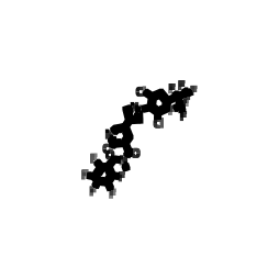 CN(C(=O)c1cc(-c2cnn(-c3c(Cl)cc(C(F)(C(F)(F)F)C(F)(F)F)cc3Cl)c2)cnc1Cl)C(=O)c1c(F)c(F)c(F)c(F)c1F